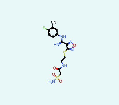 N#Cc1cc(NC(=N)c2nonc2SCCNC(=O)CS(N)(=O)=O)ccc1F